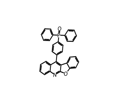 O=P(c1ccccc1)(c1ccccc1)c1ccc(-c2c3ccccc3nc3oc4ccccc4c23)cc1